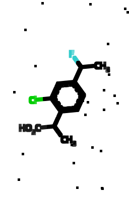 CC(F)c1ccc(C(C)C(=O)O)c(Cl)c1